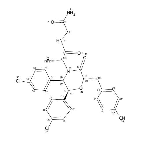 CCC[C@H](C(=O)NCC(N)=O)N1C(=O)[C@H](Cc2ccc(C#N)cc2)O[C@@H](c2ccc(Cl)cc2)[C@H]1c1ccc(Cl)cc1